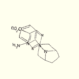 CCOC(=O)c1cnc(N2C3CCC2CN(c2ccccn2)C3)nc1N